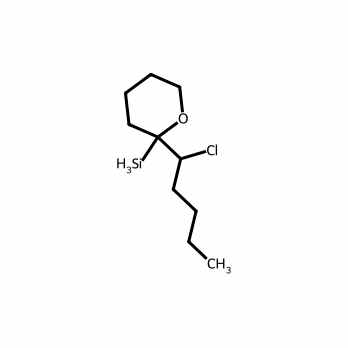 CCCCC(Cl)C1([SiH3])CCCCO1